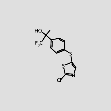 CC(O)(c1ccc(Sc2cnc(Cl)s2)cc1)C(F)(F)F